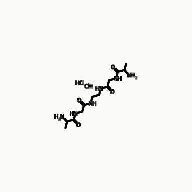 CC(N)C(=O)NCC(=O)NCCNC(=O)CNC(=O)C(C)N.Cl.Cl